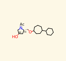 CC(=O)N1C[C@H](O)C[C@H]1COC1CCCC(C2CCCCC2)CC1